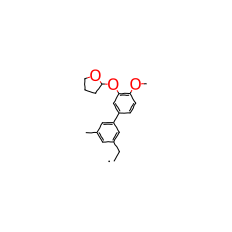 [CH2]Cc1cc(C)cc(-c2ccc(OC)c(OC3CCCO3)c2)c1